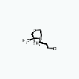 CC1(C)COCCN1CCCCl